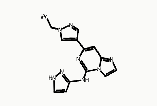 CC(C)Cn1cc(-c2cc3nccn3c(Nc3cc[nH]n3)n2)cn1